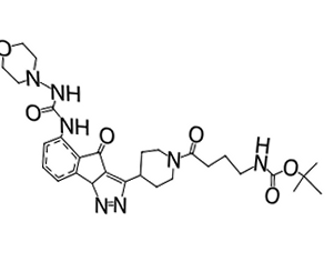 CC(C)(C)OC(=O)NCCCC(=O)N1CCC(C2=C3C(=O)c4c(NC(=O)NN5CCOCC5)cccc4C3N=N2)CC1